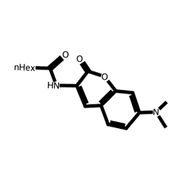 CCCCCCC(=O)Nc1cc2ccc(N(C)C)cc2oc1=O